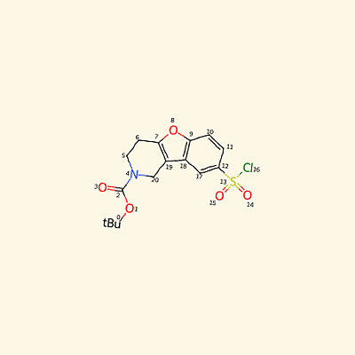 CC(C)(C)OC(=O)N1CCc2oc3ccc(S(=O)(=O)Cl)cc3c2C1